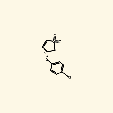 O=S1(=O)C=C[C@@H](Sc2ccc(Cl)cc2)C1